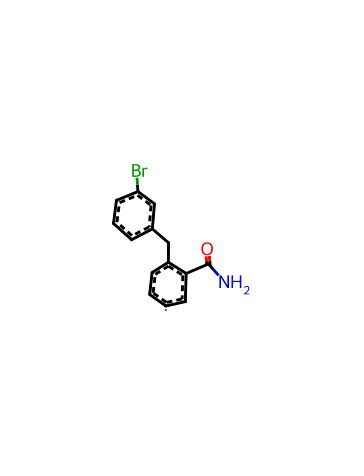 NC(=O)c1c[c]ccc1Cc1cccc(Br)c1